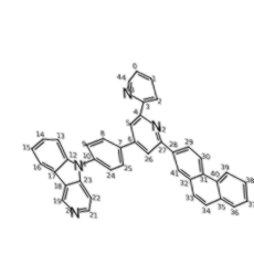 c1ccc(-c2cc(-c3ccc(-n4c5ccccc5c5cnccc54)cc3)cc(-c3ccc4c(ccc5ccccc54)c3)n2)nc1